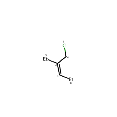 CCC=C(CC)CCl